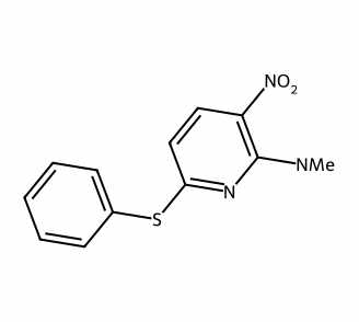 CNc1nc(Sc2ccccc2)ccc1[N+](=O)[O-]